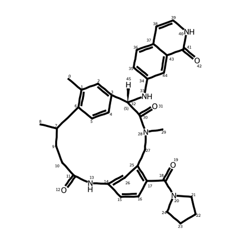 Cc1cc2ccc1C(C)CCC(=O)Nc1ccc(C(=O)N3CCCC3)c(c1)CN(C)C(=O)[C@H]2Nc1ccc2cc[nH]c(=O)c2c1